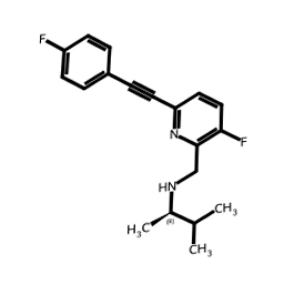 CC(C)[C@@H](C)NCc1nc(C#Cc2ccc(F)cc2)ccc1F